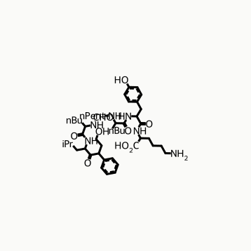 CCCCC(NC=O)C(=O)NC(CC(C)C)C(=O)C(CCO)c1ccccc1.CCCCCNC(CCCC)C(=O)NC(Cc1ccc(O)cc1)C(=O)NC(CCCCN)C(=O)O